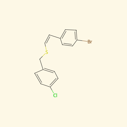 Clc1ccc(CS/C=C\c2ccc(Br)cc2)cc1